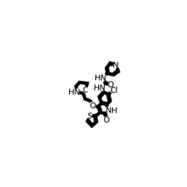 O=C(Nc1ccncc1)Nc1cc2c(OCCC3CCCCN3)c(-c3cccs3)c(=O)[nH]c2cc1Cl